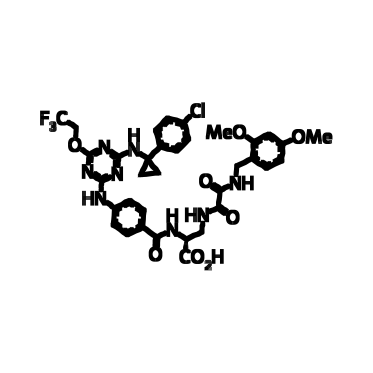 COc1ccc(CNC(=O)C(=O)NC[C@H](NC(=O)c2ccc(Nc3nc(NC4(c5ccc(Cl)cc5)CC4)nc(OCC(F)(F)F)n3)cc2)C(=O)O)c(OC)c1